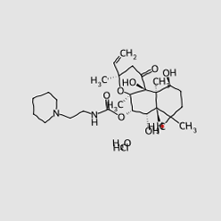 C=C[C@@]1(C)CC(=O)[C@]2(O)[C@@]3(C)[C@@H](O)CCC(C)(C)[C@@H]3[C@H](O)[C@H](OC(=O)NCCN3CCCCC3)[C@@]2(C)O1.Cl.O